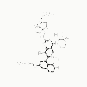 CCc1c(F)ccc2cc(OCOC)cc(-c3ncc4c(N5CCC[C@@](C)(O)C5)nc(OC[C@@]56CCCN5[C@@H](COC)CC6)nc4c3F)c12